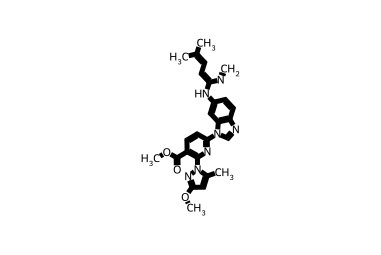 C=N/C(=C\C=C(C)C)Nc1ccc2ncn(-c3ccc(C(=O)OC)c(-n4nc(OC)cc4C)n3)c2c1